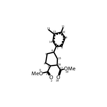 COC(=O)C1CCC(c2ccc(C)c(C)c2)CC1C(=O)OC